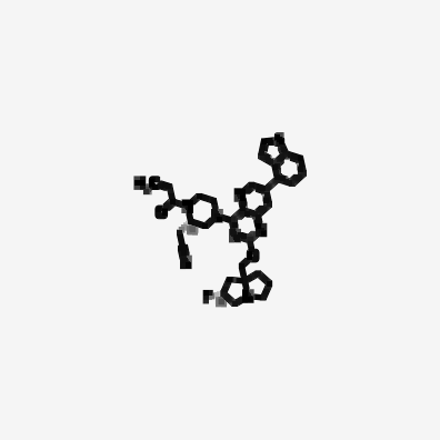 C=CC(=O)N1CCN(c2nc(OCC34CCCN3C[C@H](F)C4)nc3cc(-c4cccc5sccc45)cnc23)C[C@@H]1CC#N